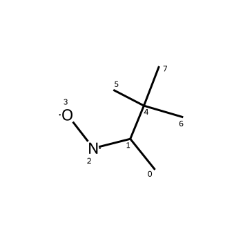 CC([N][O])C(C)(C)C